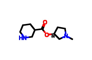 CN1CC[C@H](OC(=O)C2CCCNC2)C1